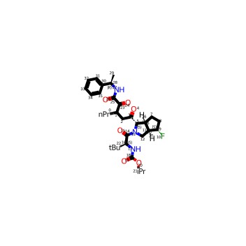 CCCC(CC(=O)[C@@H]1[C@H]2CC[C@H](F)[C@H]2CN1C(=O)[C@@H](NC(=O)OC(C)C)C(C)(C)C)C(=O)C(=O)N[C@H](C)c1ccccc1